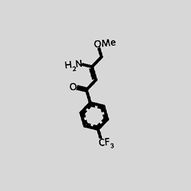 COCC(N)=CC(=O)c1ccc(C(F)(F)F)cc1